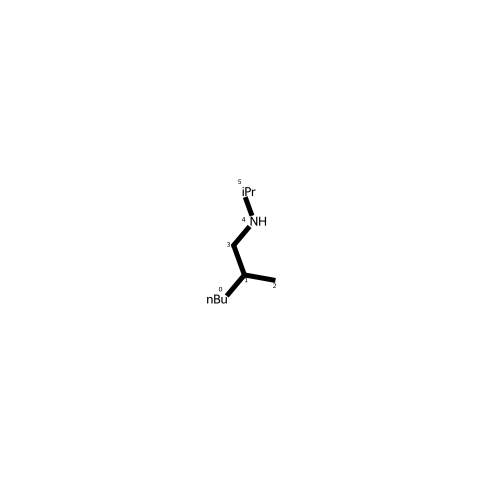 CCCCC(C)CNC(C)C